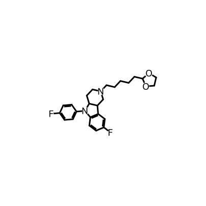 Fc1ccc(N2c3ccc(F)cc3C3CN(CCCCCC4OCCO4)CCC32)cc1